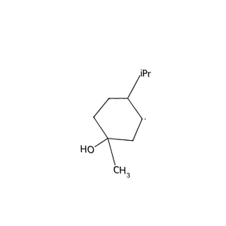 CC(C)C1[CH]CC(C)(O)CC1